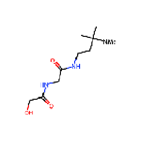 CNC(C)(C)CCNC(=O)CNC(=O)CO